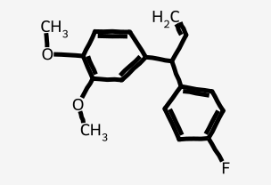 C=CC(c1ccc(F)cc1)c1ccc(OC)c(OC)c1